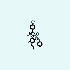 CCCc1cc2c(cc1C)C1(NN=C(c3ccc(OC)cc3)S1)C(=O)N2Cc1ccccc1